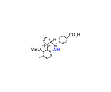 COc1c(C)ccc2c1[C@@H]1C=CC[C@@H]1[C@H](c1ccc(C(=O)O)cc1)N2